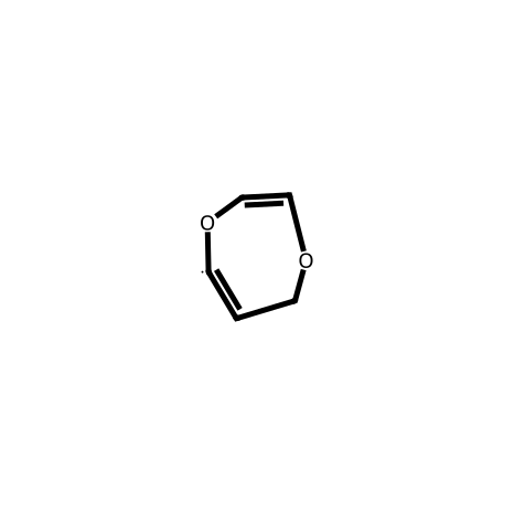 [C]1=CCOC=CO1